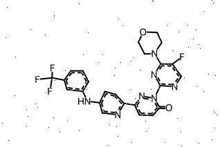 O=c1ccc(-c2ccc(Nc3cccc(C(F)(F)F)c3)cn2)nn1-c1ncc(F)c(N2CCOCC2)n1